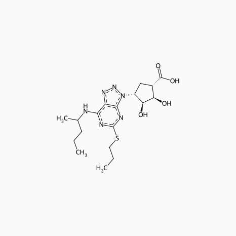 CCCSc1nc(NC(C)CCC)c2nnn([C@@H]3C[C@H](C(=O)O)[C@@H](O)[C@H]3O)c2n1